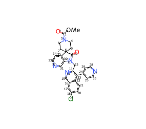 COC(=O)N1CCC2(CC1)C(=O)N(Cc1ncc3cc(Cl)ccc3c1-c1ccncc1)c1cnccc12